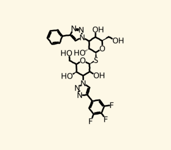 OCC1O[C@@H](S[C@@H]2O[C@H](CO)C(O)C(n3cc(-c4ccccc4)nn3)[C@H]2O)C(O)C(n2cc(-c3cc(F)c(F)c(F)c3)nn2)[C@H]1O